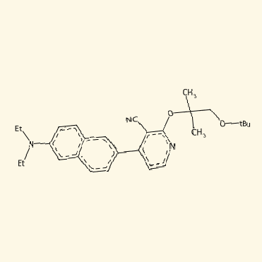 CCN(CC)c1ccc2cc(-c3ccnc(OC(C)(C)COC(C)(C)C)c3C#N)ccc2c1